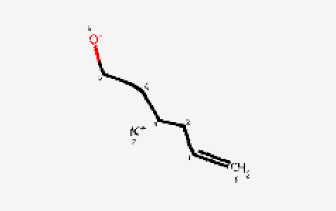 C=CCCCC[O-].[K+]